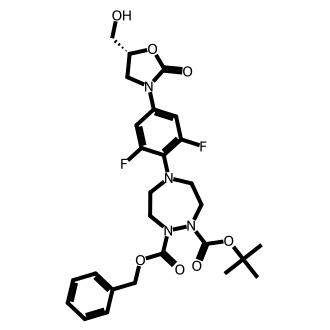 CC(C)(C)OC(=O)N1CCN(c2c(F)cc(N3C[C@H](CO)OC3=O)cc2F)CCN1C(=O)OCc1ccccc1